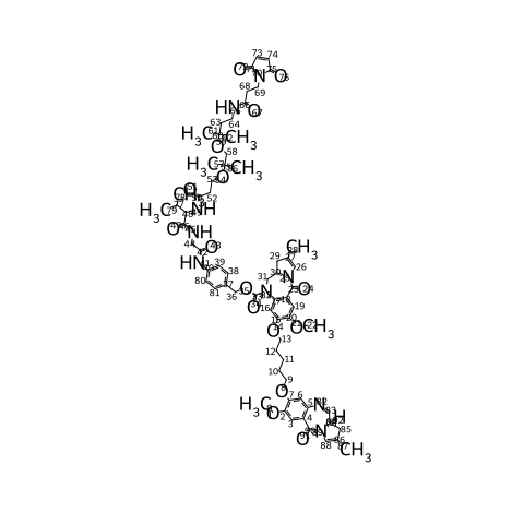 COc1cc2c(cc1OCCCCCOc1cc3c(cc1OC)C(=O)N1C=C(C)CC1CN3C(=O)OCc1ccc(NC(=O)CNC(=O)C(NC(=O)CCOC(C)(C)COC(C)(C)CCNC(=O)CCN3C(=O)C=CC3=O)C(C)C)cc1)N=C[C@@H]1CC(C)=CN1C2=O